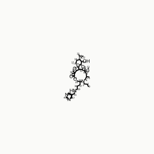 CCCN1CC(C)CC(C)(OC)C(O[C@@H]2O[C@H](C)C[C@H](N(C)C)[C@H]2O)C(C)C(=O)C(C)(C)C(=O)OCC1CCCNCc1cncnc1